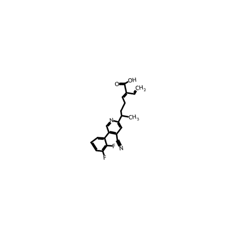 C=C/C(=C\CCC(C)c1cc(C#N)c(-c2cccc(F)c2F)cn1)C(=O)O